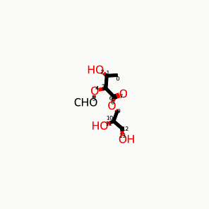 CC(O)C(OC=O)C(=O)OCC(O)CO